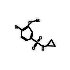 CCOc1cc(S(=O)(=O)NC2CC2)ccc1Br